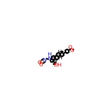 COC(=O)C1CC=C(C2=CC[C@]3(C)[C@H]4CC[C@@H]5[C@H]6[C@H](C(C)(C)O)CC[C@]6(NCCN6CCS(=O)(=O)CC6)CC[C@@]5(C)[C@]4(C)CC[C@H]3C2(C)C)CC1